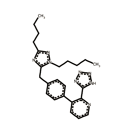 CCCCCn1nc(CCCC)nc1Cc1ccc(-c2cccnc2-c2nnn[nH]2)cc1